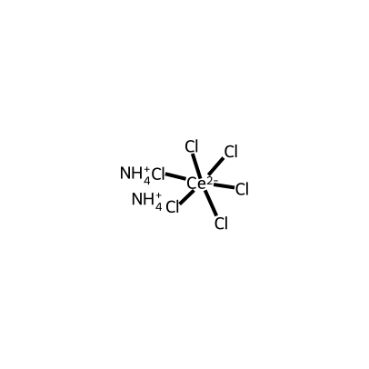 [Cl][Ce-2]([Cl])([Cl])([Cl])([Cl])[Cl].[NH4+].[NH4+]